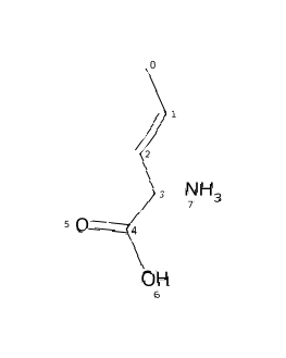 C/C=C/CC(=O)O.N